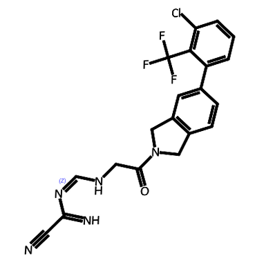 N#CC(=N)/N=C\NCC(=O)N1Cc2ccc(-c3cccc(Cl)c3C(F)(F)F)cc2C1